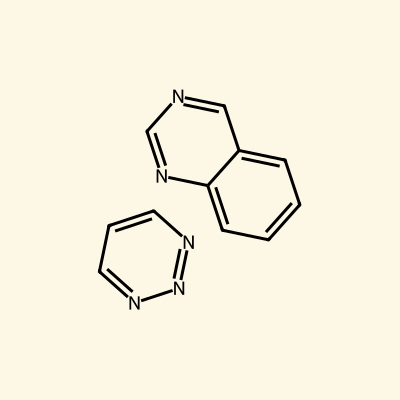 c1ccc2ncncc2c1.c1cnnnc1